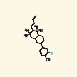 [2H]C1([2H])CC2CC(c3ccc(C#N)c(F)c3)CCC2C([2H])([2H])C1CCC=C